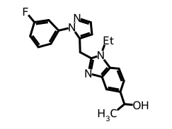 CCn1c(Cc2ccnn2-c2cccc(F)c2)nc2cc(C(C)O)ccc21